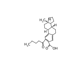 CCCCC(=O)c1cc2c(cc1C(=O)O)CC[C@@H]1[C@@H]2CC[C@]2(C)CCC[C@@H]12